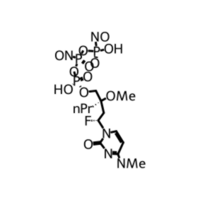 CCC[C@@](COP(=O)(O)OP(=O)(N=O)OP(=O)(O)N=O)(C[C@@H](F)n1ccc(NC)nc1=O)OC